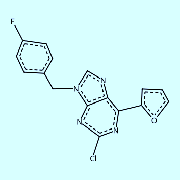 Fc1ccc(Cn2cnc3c(-c4ccco4)nc(Cl)nc32)cc1